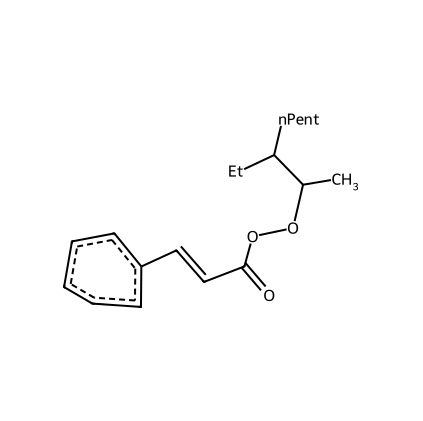 CCCCCC(CC)C(C)OOC(=O)C=Cc1ccccc1